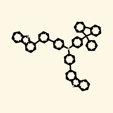 c1ccc(C2(c3ccc(N(c4ccc(-c5cccc(-c6cccc7c6sc6ccccc67)c5)cc4)c4ccc(-c5ccc6sc7ccccc7c6c5)cc4)cc3)c3ccccc3-c3ccccc32)cc1